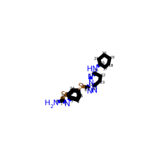 Nc1nc2ccc(Sc3nnc4n3N=C(NC3CCCCC3)CC4)cc2s1